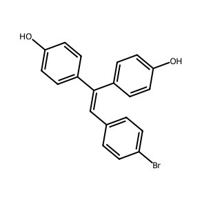 Oc1ccc(C(=Cc2ccc(Br)cc2)c2ccc(O)cc2)cc1